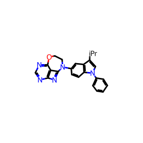 CC(C)c1cn(-c2ccccc2)c2ccc(N3CCOc4ncnc5c4C3=N5)cc12